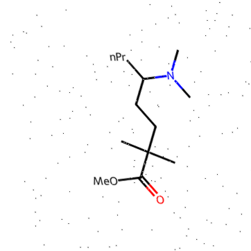 CCCC(CCC(C)(C)C(=O)OC)N(C)C